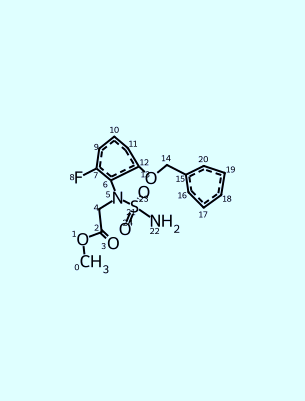 COC(=O)CN(c1c(F)cccc1OCc1ccccc1)S(N)(=O)=O